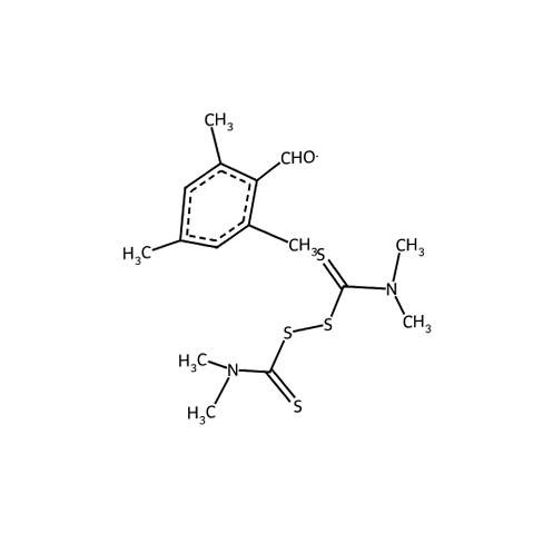 CN(C)C(=S)SSC(=S)N(C)C.Cc1cc(C)c([C]=O)c(C)c1